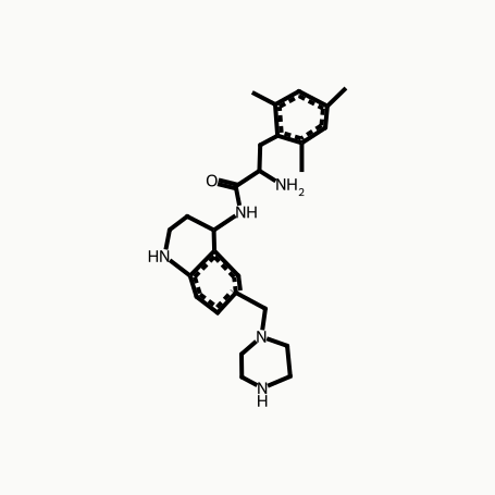 Cc1cc(C)c(CC(N)C(=O)NC2CCNc3ccc(CN4CCNCC4)cc32)c(C)c1